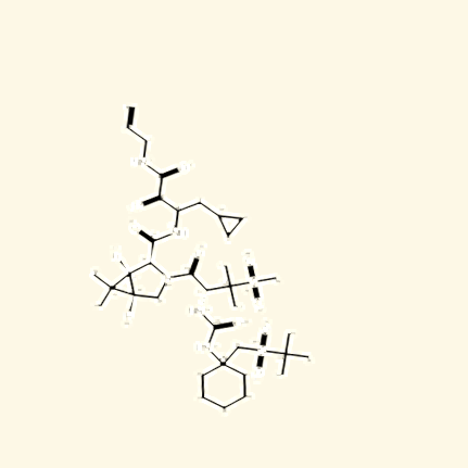 C=CCNC(=O)C(=O)C(CC1CC1)NC(=O)[C@@H]1[C@@H]2[C@H](CN1C(=O)[C@@H](NC(=O)NC1(CS(=O)(=O)C(C)(C)C)CCCCC1)C(C)(C)S(C)(=O)=O)C2(C)C